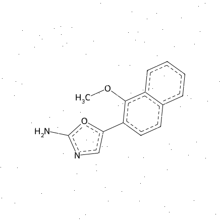 COc1c(-c2cnc(N)o2)ccc2ccccc12